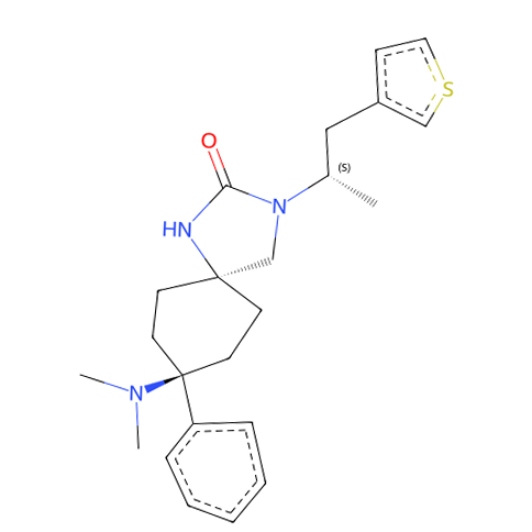 C[C@@H](Cc1ccsc1)N1C[C@]2(CC[C@](c3ccccc3)(N(C)C)CC2)NC1=O